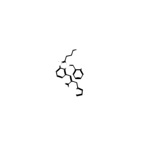 CCCCc1nc2cccc(C=C(Cc3cccs3)C(=O)O)c2n1Cc1ccccc1Cl